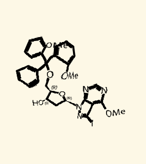 COc1ccccc1C(OC[C@H]1O[C@@H](n2nc(I)c3c(OC)ncnc32)C[C@@H]1O)(c1ccccc1)c1ccccc1OC